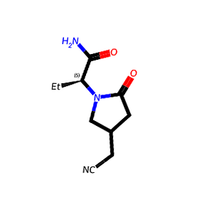 CC[C@@H](C(N)=O)N1CC(CC#N)CC1=O